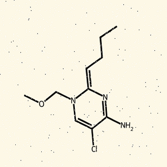 CCCC=C1N=C(N)C(Cl)=CN1COC